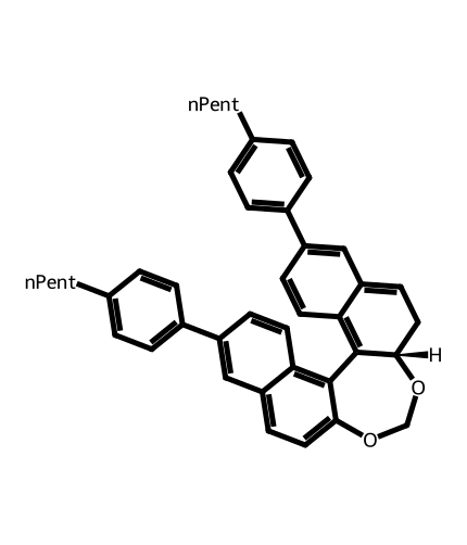 CCCCCc1ccc(-c2ccc3c(c2)=CC[C@@H]2OCOc4ccc5cc(-c6ccc(CCCCC)cc6)ccc5c4C=32)cc1